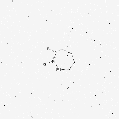 [O-][NH+]1NCCCCC1F